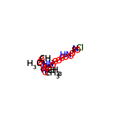 CCC(C)(C)C(=O)C(=O)N1CCCC[C@H]1C(=O)O[C@H](CCc1ccc(OC)c(OC)c1)c1cccc(NC(=O)CCOCCOCCOCCOCCNC(=O)COc2ccc3c(c2)CCCN3C(=O)CCl)c1